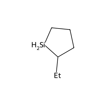 CCC1CCC[SiH2]1